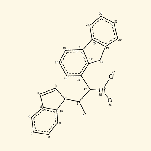 CC(C1C=Cc2ccccc21)[CH](c1cccc2c1Cc1ccccc1-2)[Hf]([Cl])[Cl]